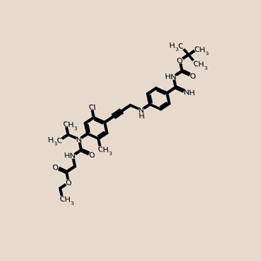 CCOC(=O)CNC(=O)N(c1cc(Cl)c(C#CCNc2ccc(C(=N)NC(=O)OC(C)(C)C)cc2)cc1C)C(C)C